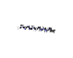 O=P\P=P/P=P\P=P/P=P\P=P/P=P\P=P/P=P\P=P/P=P\P=P/P=P#P